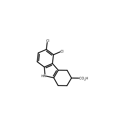 O=C(O)C1CCc2[nH]c3ccc(Cl)c(Cl)c3c2C1